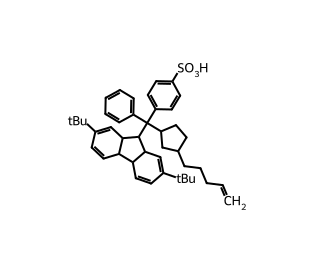 C=CCCCC1CCC(C(c2ccccc2)(c2ccc(S(=O)(=O)O)cc2)C2C3C=C(C(C)(C)C)C=CC3C3C=CC(C(C)(C)C)=CC32)C1